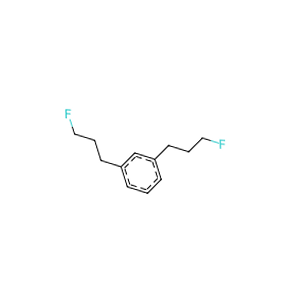 FCCCc1cccc(CCCF)c1